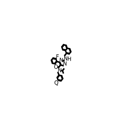 COc1cccc(CN(C(=O)c2cnc(NCc3cccc4ccccc34)nc2-c2ccccc2F)C(C)C)c1